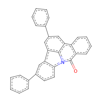 O=c1c2ccccc2c2cc(-c3ccccc3)cc3c4cc(-c5ccccc5)ccc4n1c23